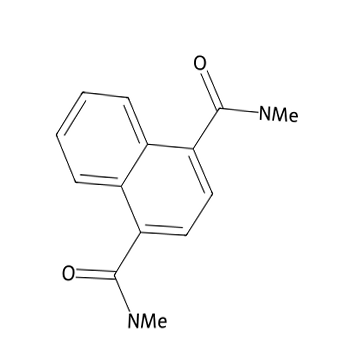 CNC(=O)c1ccc(C(=O)NC)c2ccccc12